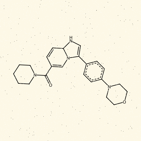 O=C(C1=CN2C(c3ccc(N4CCOCC4)cc3)=CNC2C=C1)N1CCCCC1